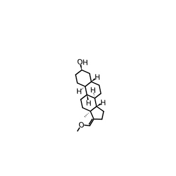 CO/C=C1/CC[C@H]2[C@@H]3CC[C@H]4C[C@H](O)CC[C@@H]4[C@H]3CC[C@]12C